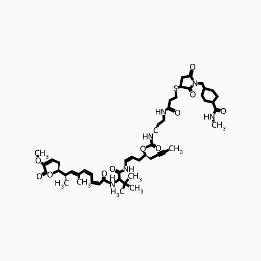 CC#CC[C@@H](C/C=C\NC(=O)C(NC(=O)\C=C/C=C\C(C)=C\[C@H](C)[C@@H]1CC=C(OC)C(=O)O1)C(C)(C)C)OC(=O)NCCCNC(=O)CCSC1CC(=O)N(CC2CCC(C(=O)NC)CC2)C1=O